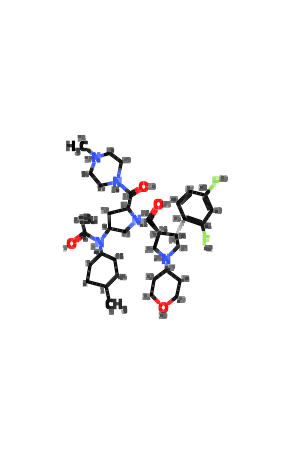 CC1CCC(N(C(=O)C(C)(C)C)C2CC(C(=O)N3CCN(C)CC3)N(C(=O)[C@@H]3CN(C4CCOCC4)C[C@H]3c3ccc(F)cc3F)C2)CC1